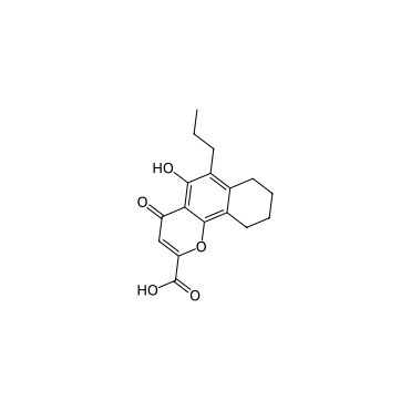 CCCc1c2c(c3oc(C(=O)O)cc(=O)c3c1O)CCCC2